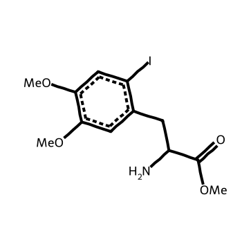 COC(=O)C(N)Cc1cc(OC)c(OC)cc1I